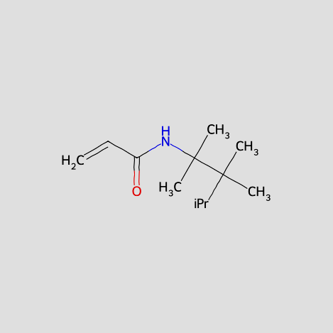 C=CC(=O)NC(C)(C)C(C)(C)C(C)C